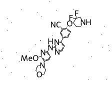 COc1nc(Nc2nccc(-c3ccc(OC4CCNCC4(F)F)c(C#N)c3)n2)ccc1N1CCOCC1